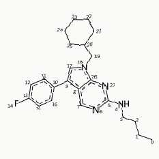 CCCCNc1ncc2c(-c3ccc(F)cc3)cn(CC3CCCCC3)c2n1